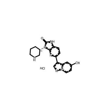 Cl.N#Cc1ccn2ncc(-c3ccc4[nH]c(=O)n([C@H]5CCCNC5)c4n3)c2c1